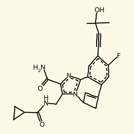 CC(C)(O)C#Cc1cc2c(cc1F)C1=CC(C1)n1c-2nc(C(N)=O)c1CNC(=O)C1CC1